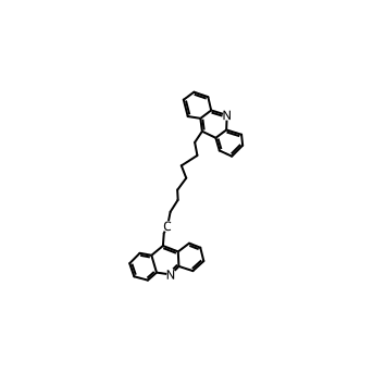 c1ccc2c(CCCCCCCCCc3c4ccccc4nc4ccccc34)c3ccccc3nc2c1